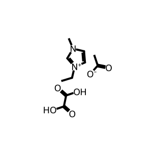 CC(=O)[O-].CC[n+]1ccn(C)c1.O=C(O)C(=O)O